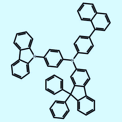 c1ccc(C2(c3ccccc3)c3ccccc3-c3ccc(N(c4ccc(-c5cccc6ccccc56)cc4)c4ccc(-n5c6ccccc6c6ccccc65)cc4)cc32)cc1